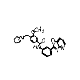 COc1cc(C(=O)Nc2cccc(-c3nc4ncccc4o3)c2)ccc1CN1CCCC1